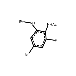 CC(=O)Nc1c(F)cc(Br)cc1NC(C)C